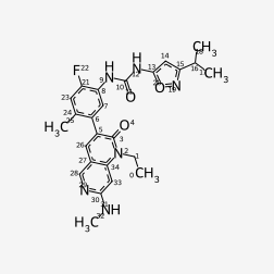 CCn1c(=O)c(-c2cc(NC(=O)Nc3cc(C(C)C)no3)c(F)cc2C)cc2cnc(NC)cc21